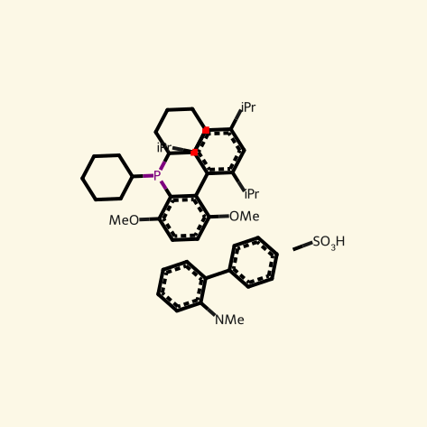 CNc1ccccc1-c1ccccc1.COc1ccc(OC)c(P(C2CCCCC2)C2CCCCC2)c1-c1c(C(C)C)cc(C(C)C)cc1C(C)C.CS(=O)(=O)O